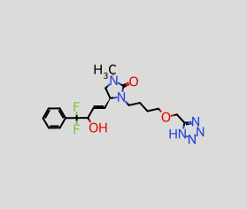 CN1C[C@H](C=CC(O)C(F)(F)c2ccccc2)N(CCCCOCc2nnn[nH]2)C1=O